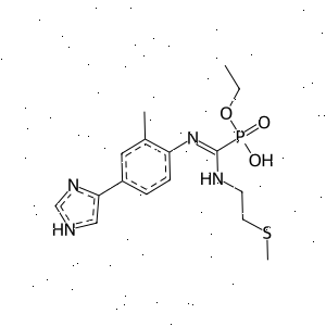 CCOP(=O)(O)C(=Nc1ccc(-c2c[nH]cn2)cc1C)NCCSC